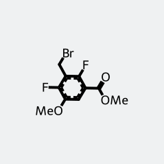 COC(=O)c1cc(OC)c(F)c(CBr)c1F